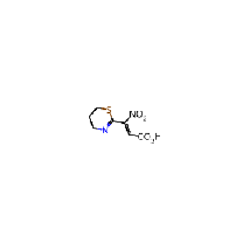 O=C(O)/C=C(/C1=NCCCS1)[N+](=O)[O-]